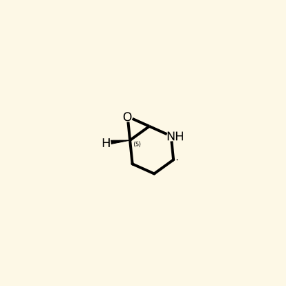 [CH]1CC[C@@H]2OC2N1